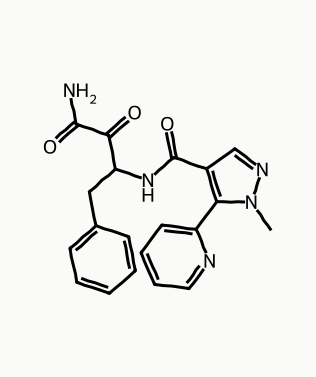 Cn1ncc(C(=O)NC(Cc2ccccc2)C(=O)C(N)=O)c1-c1ccccn1